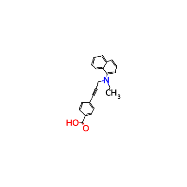 CCN(CC#Cc1ccc(C(=O)O)cc1)c1cccc2ccccc12